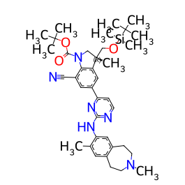 Cc1cc2c(cc1Nc1nccc(-c3cc(C#N)c4c(c3)[C@@](C)(CO[Si](C)(C)C(C)(C)C)CN4C(=O)OC(C)(C)C)n1)CCN(C)CC2